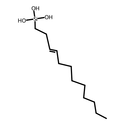 CCCCCCCCC=CCC[Si](O)(O)O